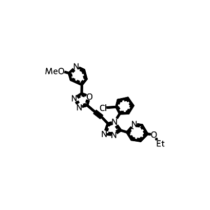 CCOc1ccc(-c2nnc(C#Cc3nnc(-c4ccnc(OC)c4)o3)n2-c2ccccc2Cl)nc1